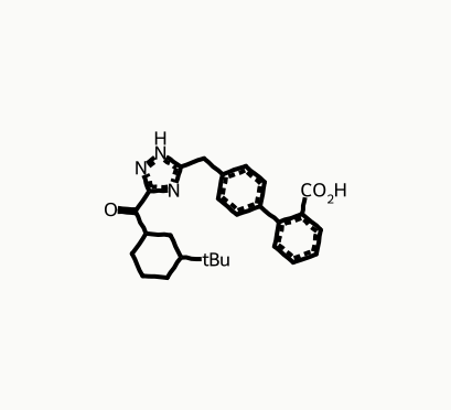 CC(C)(C)C1CCCC(C(=O)c2n[nH]c(Cc3ccc(-c4ccccc4C(=O)O)cc3)n2)C1